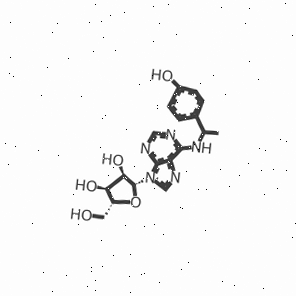 CC(Nc1ncnc2c1ncn2[C@@H]1O[C@H](CO)[C@@H](O)[C@H]1O)c1ccc(O)cc1